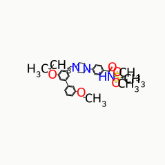 CCOc1cccc(-c2cc(CN3CCN(c4ccc(C(=O)NS(=O)(=O)C(C)(C)C)cc4)CC3)cc(OC(C)C)c2)c1